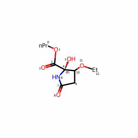 CCCOC(=O)[C@@]1(O)NC(=O)CC1OCC